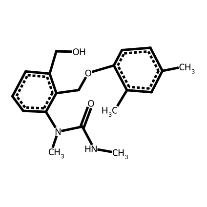 CNC(=O)N(C)c1cccc(CO)c1COc1ccc(C)cc1C